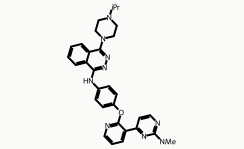 CNc1nccc(-c2cccnc2Oc2ccc(Nc3nnc(N4CCN(C(C)C)CC4)c4ccccc34)cc2)n1